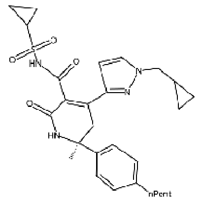 CCCCCc1ccc([C@]2(C)CC(c3ccn(CC4CC4)n3)=C(C(=O)NS(=O)(=O)C3CC3)C(=O)N2)cc1